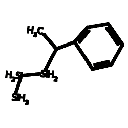 CC([SiH2][SiH2][SiH3])c1ccccc1